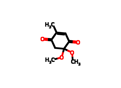 COC1(OC)CC(=O)C(C)=CC1=O